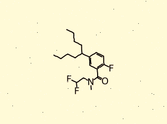 CCCCC(CCCC)c1ccc(F)c(C(=O)N(C)CC(F)F)c1